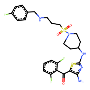 Nc1nc(NC2CCN(S(=O)(=O)CCCNCc3ccc(F)cc3)CC2)sc1C(=O)c1c(F)cccc1F